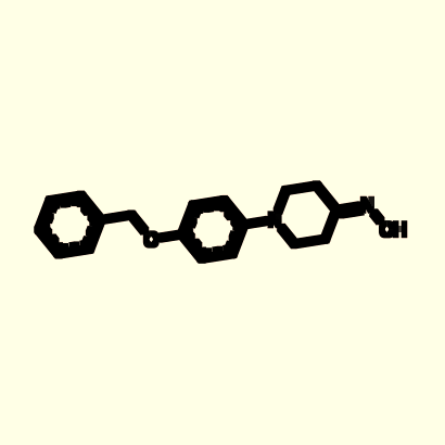 ON=C1CCN(c2ccc(OCc3ccccc3)cc2)CC1